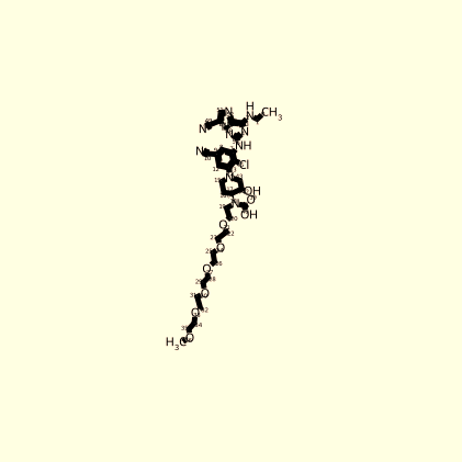 CCNc1nc(Nc2cc(C#N)cc(N3CC[C@@H](N(CCOCCOCCOCCOCCOCCOC)C(=O)O)[C@H](O)C3)c2Cl)nn2c(C#N)cnc12